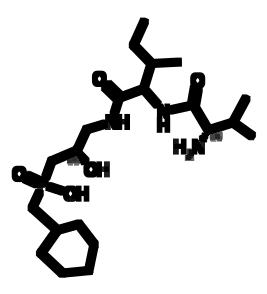 CCC(C)C(NC(=O)[C@@H](N)C(C)C)C(=O)NC[C@@H](O)CP(=O)(O)CC1CCCCC1